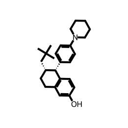 CC(C)(C)C[C@H]1CCc2cc(O)ccc2[C@H]1c1ccc(N2CCCCC2)cc1